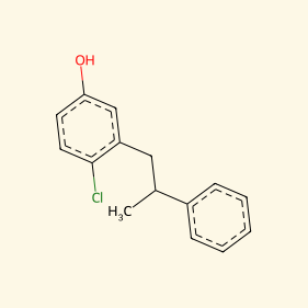 CC(Cc1cc(O)ccc1Cl)c1ccccc1